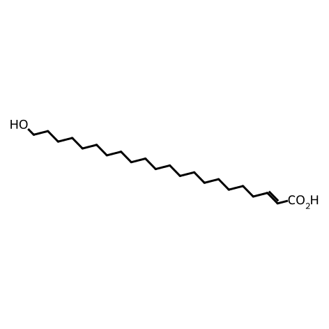 O=C(O)C=CCCCCCCCCCCCCCCCCCCCO